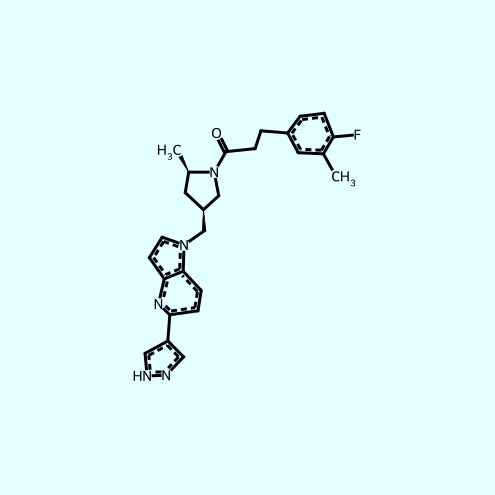 Cc1cc(CCC(=O)N2C[C@@H](Cn3ccc4nc(-c5cn[nH]c5)ccc43)C[C@H]2C)ccc1F